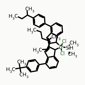 CCCC(C)C1=Cc2c(-c3ccc(C(C)(C)C)cc3)cccc2[CH]1[Zr]([Cl])([Cl])([CH]1C(CC)=Cc2c(-c3ccc(C(C)CC)cc3)cccc21)[SiH](C)C